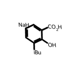 CCC(C)c1cccc(C(=O)O)c1O.[NaH]